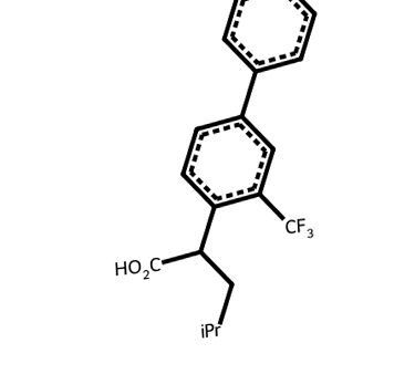 CC(C)CC(C(=O)O)c1ccc(-c2ccccc2)cc1C(F)(F)F